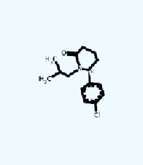 CC(C)CN1C(=O)CCC[C@H]1c1ccc(Cl)cc1